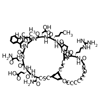 CCCC[C@@H]1NC(=O)[C@@H]2CCCN2C(=O)[C@@H]2CSCc3cc(cc(c3)OCCCCCCO/N=C/C(=O)N[C@@H](CCCNC(=N)N)C(=O)N2)CSC[C@@H](C(N)=O)NC(=O)[C@H](CCC(=O)O)NC(=O)[C@H](CCC(N)=O)NC(=O)[C@H](Cc2c[nH]c3ccccc23)NC(=O)[C@H]([C@@H](C)CC)NC(=O)[C@H](CC(=O)O)NC1=O